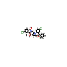 Cc1cc(C)n(-c2ccc(Cl)cc2C(=O)c2ccccc2F)c1CN1C(=O)c2ccc(Cl)cc2C1=O